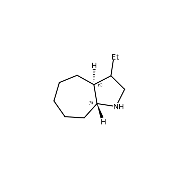 CCC1CN[C@@H]2CCCCC[C@@H]12